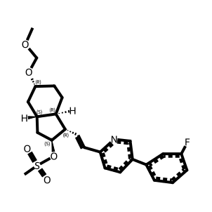 COCO[C@@H]1CC[C@@H]2[C@@H](C1)C[C@H](OS(C)(=O)=O)[C@H]2C=Cc1ccc(-c2cccc(F)c2)cn1